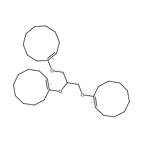 C1=C(/OCC(CO/C2=C/CCCCCCCC2)O/C2=C/CCCCCCCC2)CCCCCCCC/1